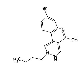 CCCCN1C=c2c(c(O)nc3cc(Br)ccc23)=CN1